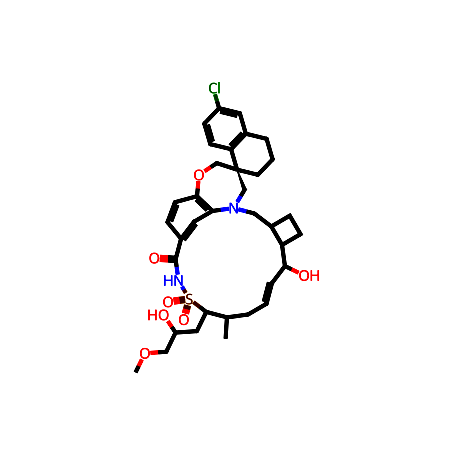 COCC(O)CC1C(C)C/C=C/C(O)C2CCC2CN2C[C@@]3(CCCc4cc(Cl)ccc43)COc3ccc(cc32)C(=O)NS1(=O)=O